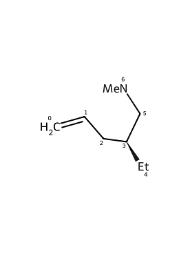 C=CC[C@H](CC)CNC